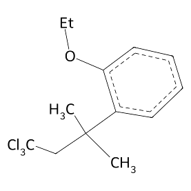 CCOc1ccccc1C(C)(C)CC(Cl)(Cl)Cl